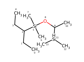 CCC(CC)[Si](C)(C)OC(C)[SiH](C)C